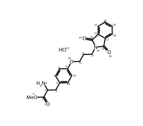 COC(=O)C(N)Cc1ccc(OCCCN2C(=O)c3ccccc3C2=O)cc1.Cl